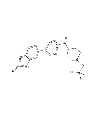 O=C(c1ccc(-c2ccc3oc(=O)[nH]c3c2)cc1)N1CCN(CC2(O)CC2)CC1